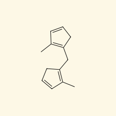 CC1=C(CC2=C(C)C=CC2)CC=C1